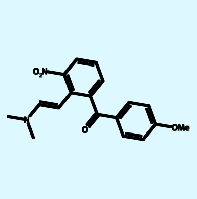 COc1ccc(C(=O)c2cccc([N+](=O)[O-])c2/C=C/N(C)C)cc1